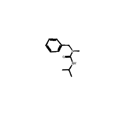 CC(C)NC(=O)N(C)Cc1ccccc1